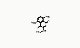 CCCCCCNC1=CC(=O)c2c(OC)ccc(OC)c2C1=O